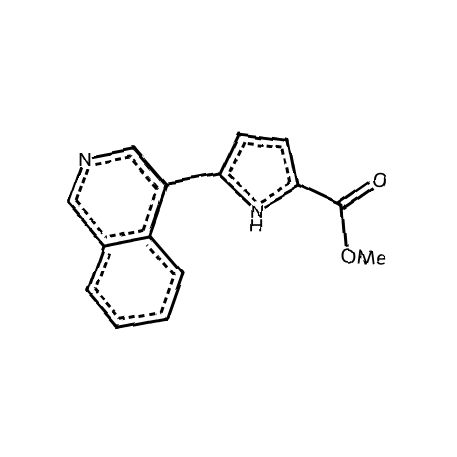 COC(=O)c1ccc(-c2cncc3ccccc23)[nH]1